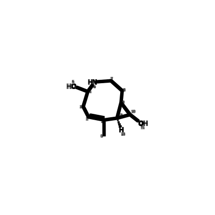 C/C1=C/CC(O)NCCC2C(O)[C@@H]12